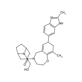 CC1=C2OCCN(C(=O)N3C4CCC3CC(CO)C4)CC2=CC(c2ccc3nc(C)[nH]c3c2)C1